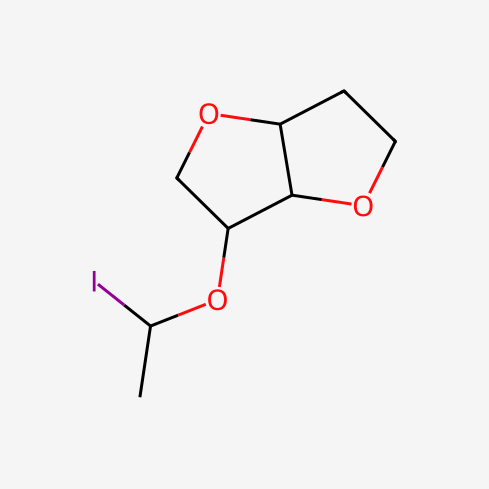 CC(I)OC1COC2CCOC21